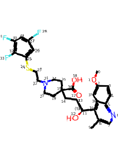 COc1ccc2ncc(C)c([C@@H](O)CCC3(C(=O)O)CCN(CCSc4cc(F)cc(F)c4F)CC3)c2c1